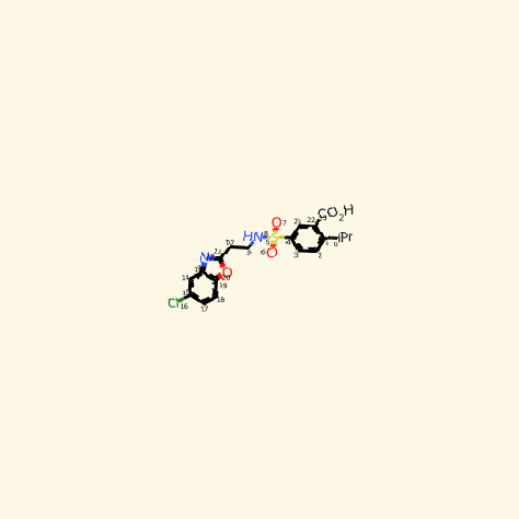 CC(C)c1ccc(S(=O)(=O)NCCc2nc3cc(Cl)ccc3o2)cc1C(=O)O